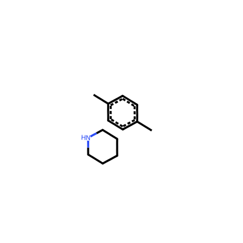 C1CCNCC1.Cc1ccc(C)cc1